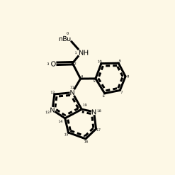 CCCCNC(=O)C(c1ccccc1)n1cnc2cccnc21